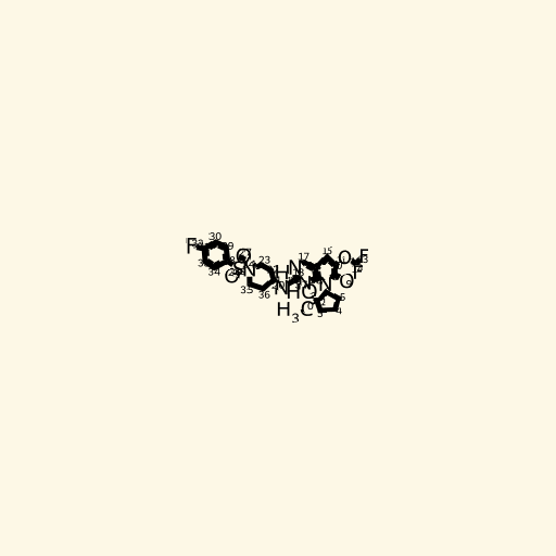 C[C@@]1(O)CCC[C@H]1n1c(=O)c(OC(F)F)cc2cnc(NC3CCN(S(=O)(=O)c4ccc(F)cc4)CC3)nc21